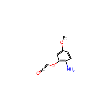 CCOc1ccc(N)c(OC=C=O)c1